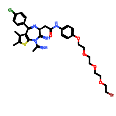 CC(=N)N1C(=N)[C@H](CC(=O)Nc2ccc(OCCOCCOCCOCCBr)cc2)N=C(c2ccc(Cl)cc2)c2c1sc(C)c2C